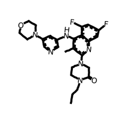 CCCN1CCN(c2nc3cc(F)cc(F)c3c(Nc3cncc(N4CCOCC4)c3)c2C)CC1=O